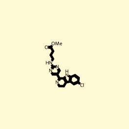 COC(=O)CCCNc1ncc(C2=NCCc3c2[nH]c2ccc(Cl)cc32)cn1